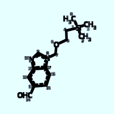 C[Si](C)(C)CCOCn1cnc2cc(C=O)ccc21